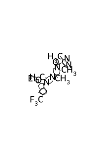 CCOC1Cc2cc(C(F)(F)F)ccc2[C@H]1N1CCN(C2(C)CCN(C(=O)c3c(C)ncnc3C)CC2)C[C@@H]1C